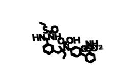 CCSC(=O)NC(=N)c1cccc(CC(C)(CC)N(C(=O)O)c2ccc(-c3ccccc3S(N)(=O)=O)cc2)c1